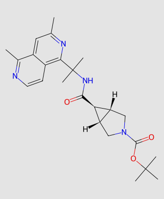 Cc1cc2c(C)nccc2c(C(C)(C)NC(=O)[C@H]2[C@@H]3CN(C(=O)OC(C)(C)C)C[C@@H]32)n1